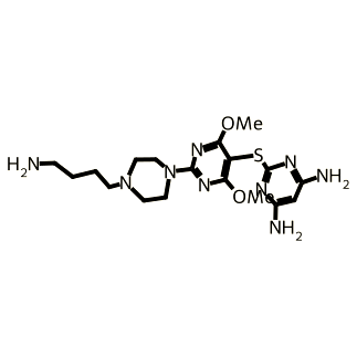 COc1nc(N2CCN(CCCCN)CC2)nc(OC)c1Sc1nc(N)cc(N)n1